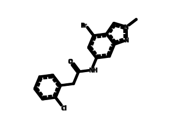 Cn1cc2c(Br)cc(NC(=O)Cc3ccccc3Cl)cc2n1